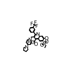 CCS(=O)(=O)c1cc2c(C(=O)O)c(CN3CCC(N4CCCC4)CC3)c(-c3cccc(C(F)(F)F)c3)nc2cc1OC